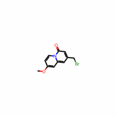 COc1ccn2c(=O)cc(CBr)cc2c1